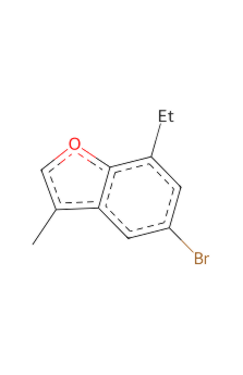 CCc1cc(Br)cc2c(C)coc12